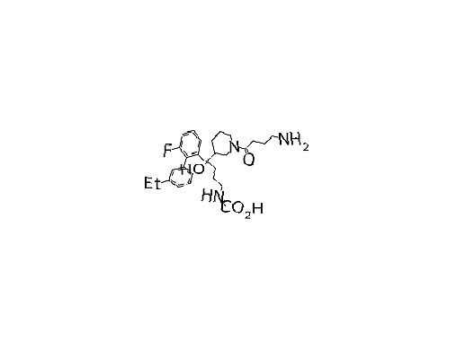 CCc1cccc(-c2c(F)cccc2C(O)(CCCNC(=O)O)C2CCCN(C(=O)CCCN)C2)c1